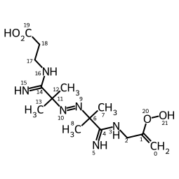 C=C(CNC(=N)C(C)(C)N=NC(C)(C)C(=N)NCCC(=O)O)OO